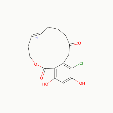 O=C1CCC/C=C/CCOC(=O)c2c(O)cc(O)c(Cl)c2C1